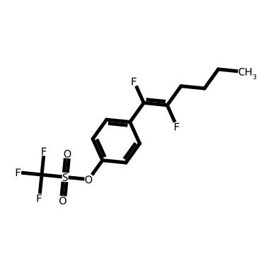 CCCCC(F)=C(F)c1ccc(OS(=O)(=O)C(F)(F)F)cc1